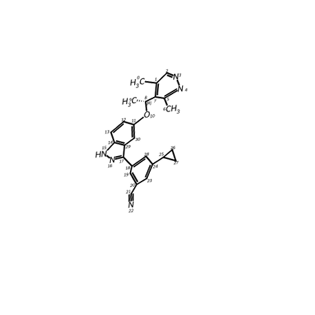 Cc1cnnc(C)c1[C@@H](C)Oc1ccc2[nH]nc(-c3cc(C#N)cc(C4CC4)c3)c2c1